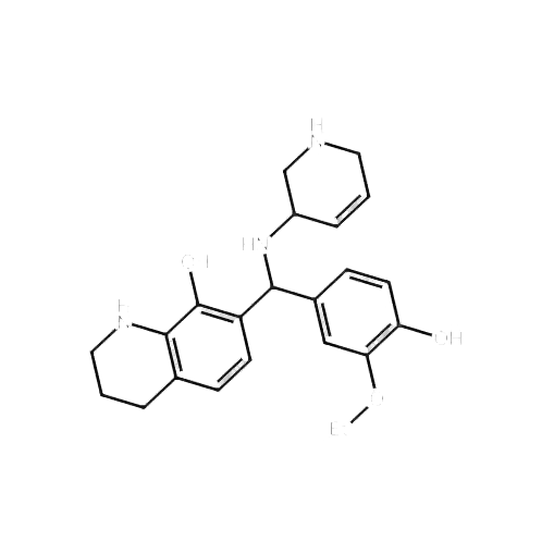 CCOc1cc(C(NC2C=CCNC2)c2ccc3c(c2O)NCCC3)ccc1O